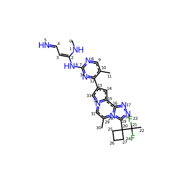 CN/C(=C\C=N)Nc1ncc(C)c(-c2cc3c4nnc(C5(C(C)(F)F)CCC5)n4c(C)cn3c2)n1